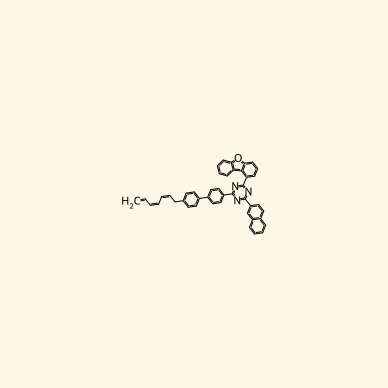 C=C/C=C\C=C/Cc1ccc(-c2ccc(-c3nc(-c4ccc5ccccc5c4)nc(-c4cccc5oc6ccccc6c45)n3)cc2)cc1